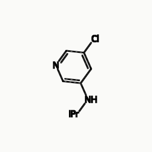 CC(C)Nc1cncc(Cl)c1